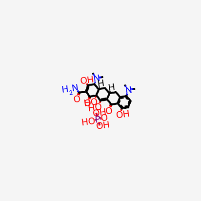 CN(C)c1ccc(O)c2c1C[C@H]1C[C@@H]3[C@H](N(C)C)C(O)=C(C(N)=O)C(=O)[C@@]3(O)C(O)=C1C2=O.O=P(O)(O)O